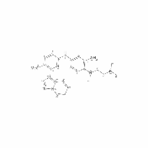 COc1cnc(Nc2ccc(N(C)CCN(C)C)c(N)c2)nc1-c1cnn2ccccc12